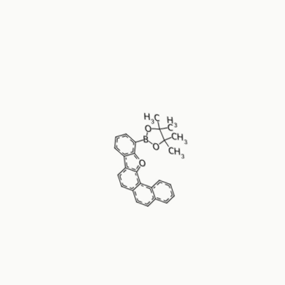 CC1(C)OB(c2cccc3c2oc2c3ccc3ccc4ccccc4c32)OC1(C)C